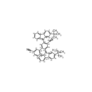 CC(C)(C)c1ccc2c3ccccc3n(-c3cc(-c4cccc(C#N)c4)c(-n4c5ccccc5c5ccc(C(C)(C)C)cc54)cc3C#N)c2c1